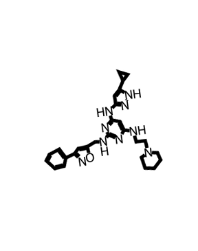 c1ccc(-c2cc(CNc3nc(NCCN4CCCCC4)cc(Nc4cc(C5CC5)[nH]n4)n3)on2)cc1